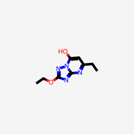 CCOc1nc2nc(CC)cc(O)n2n1